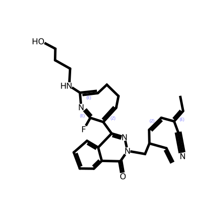 C=CC(/C=C\C(C#N)=C/C)Cn1nc(C2=C/CC/C=C(NCCCO)/N=C\2F)c2ccccc2c1=O